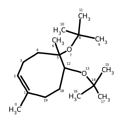 C/C1=C/CCC(C)(OC(C)(C)C)C(OC(C)(C)C)CC1